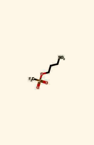 O=[N+]([O-])CCCOS(=O)(=O)C(F)(F)F